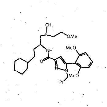 COCCN(C)C[C@H](CCC1CCCCC1)NC(=O)c1cc(-c2c(OC)cccc2OC)n(CC(C)C)n1